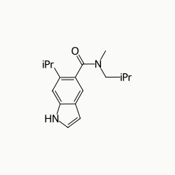 CC(C)CN(C)C(=O)c1cc2cc[nH]c2cc1C(C)C